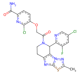 Cc1nn2c3c(nc2s1)CCN(C(=O)COc1ccc(C(N)=O)nc1Cl)C3c1ncc(Cl)cc1F